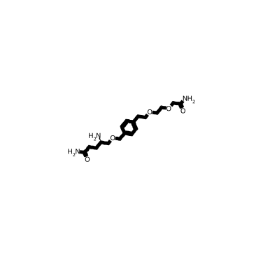 NC(=O)CC[C@H](N)COCc1ccc(CCOCCOCC(N)=O)cc1